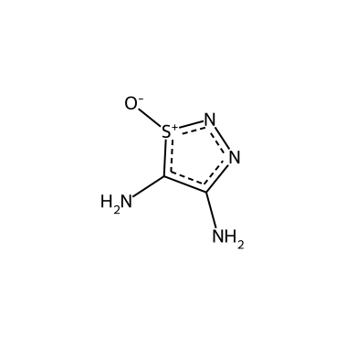 Nc1nn[s+]([O-])c1N